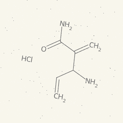 C=CC(N)C(=C)C(N)=O.Cl